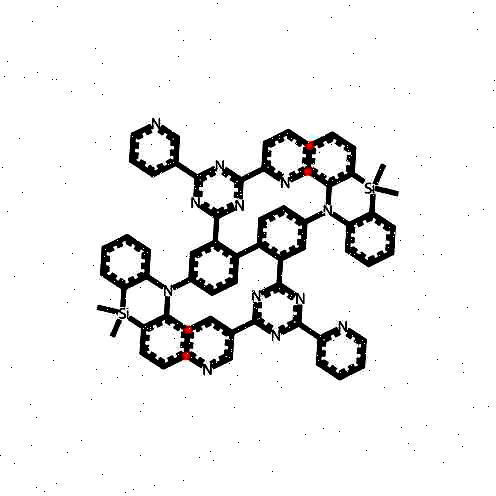 C[Si]1(C)c2ccccc2N(c2ccc(-c3ccc(N4c5ccccc5[Si](C)(C)c5ccccc54)cc3-c3nc(-c4cccnc4)nc(-c4ccccn4)n3)c(-c3nc(-c4cccnc4)nc(-c4ccccn4)n3)c2)c2ccccc21